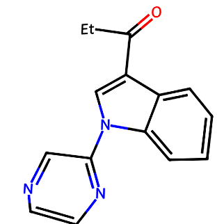 CCC(=O)c1cn(-c2cnccn2)c2ccccc12